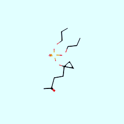 CCCOP(=O)(OCCC)OC1(CCC(C)=O)CC1